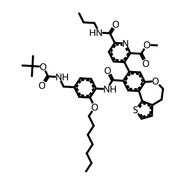 CCCCCCCOc1cc(CNC(=O)OC(C)(C)C)ccc1NC(=O)c1cc2c(cc1-c1ccc(C(=O)NCCC)nc1C(=O)OC)OCCc1ccsc1-2